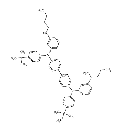 CCCCNc1cccc(N(c2ccc(-c3ccc(N(c4ccc(C(C)(C)C)cc4)c4cccc(C(N)CCC)c4)cc3)cc2)c2ccc(C(C)(C)C)cc2)c1